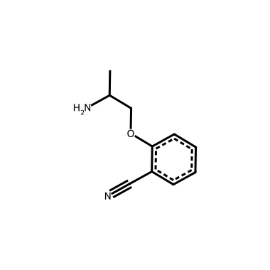 CC(N)COc1ccccc1C#N